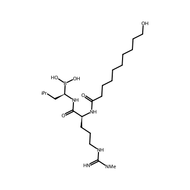 CNC(=N)NCCC[C@H](NC(=O)CCCCCCCCCO)C(=O)N[C@@H](CC(C)C)B(O)O